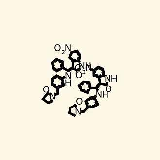 O=C1Nc2ccc([N+](=O)[O-])cc2C1=C(Nc1ccc(CN2CCCC2=O)cc1)c1ccccc1.O=C1Nc2ccc([N+](=O)[O-])cc2C1=C(Nc1cccc(CN2CCCC2=O)c1)c1ccccc1